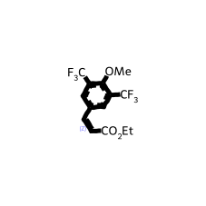 CCOC(=O)/C=C\c1cc(C(F)(F)F)c(OC)c(C(F)(F)F)c1